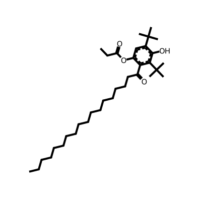 CCCCCCCCCCCCCCCCCC(=O)c1c(OC(=O)CC)cc(C(C)(C)C)c(O)c1C(C)(C)C